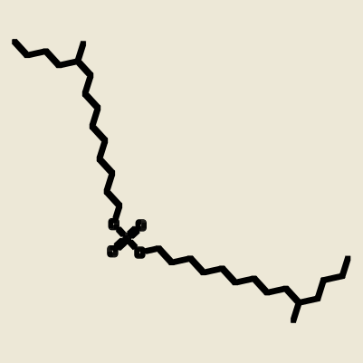 CCCCC(C)CCCCCCCCCOS(=O)(=O)OCCCCCCCCCC(C)CCCC